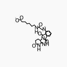 COC(=O)CCCCCCNC(=O)CN(C)c1cccc2c1C(=O)N(C1CCC(=O)NC1=N)C2=O